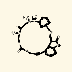 CN1CCC(=O)NCC#Cc2cccc3c2/C(=C/Nc2cccc(c2)S(=O)(=O)N(C)CC1=O)C(=O)N3